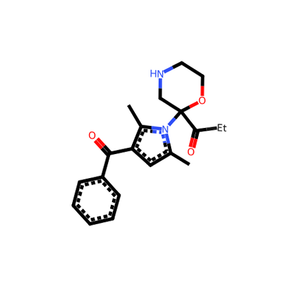 CCC(=O)C1(n2c(C)cc(C(=O)c3ccccc3)c2C)CNCCO1